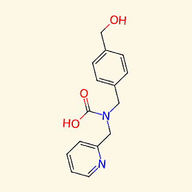 O=C(O)N(Cc1ccc(CO)cc1)Cc1ccccn1